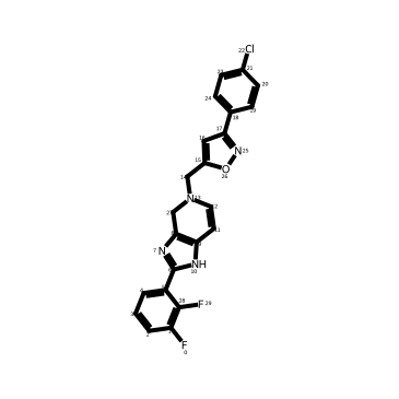 Fc1cccc(-c2nc3c([nH]2)C=CN(Cc2cc(-c4ccc(Cl)cc4)no2)C3)c1F